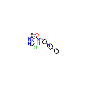 CCc1nc2ncc(Cl)cn2c1C(=O)NCc1ccc(N2CCC(c3ccccc3)CC2)cc1